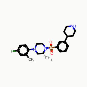 C[C@@H]1CN(c2ccc(F)cc2C(F)(F)F)CCN1S(=O)(=O)c1cccc(C2CCNCC2)c1